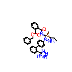 CCC1=S(C)C(=NC(=O)c2ccccc2C(=O)OCc2ccccc2)N(c2ccc(-c3ccccc3-c3nnn[nH]3)cc2)N1